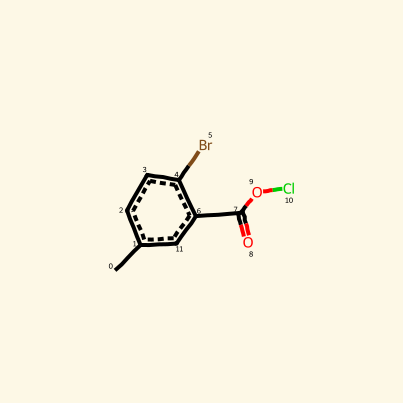 Cc1ccc(Br)c(C(=O)OCl)c1